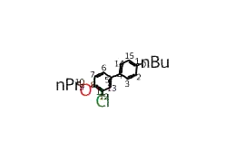 CCCCc1ccc(-c2ccc(OCCC)c(Cl)c2)cc1